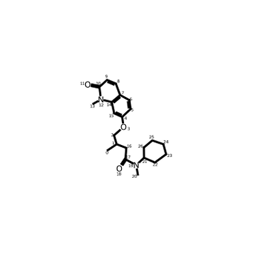 CC(COc1ccc2ccc(=O)n(C)c2c1)CC(=O)N(C)C1CCCCC1